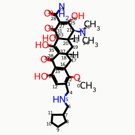 COc1c(CNCC2CCCC2)cc(O)c2c1C[C@H]1C[C@H]3[C@H](N(C)C)C(O)=C(C(N)=O)C(=O)[C@@]3(O)C(O)=C1C2=O